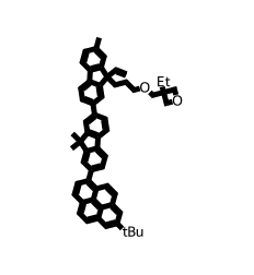 C=CC1(CCCOCC2(CC)COC2)c2cc(C)ccc2-c2ccc(-c3ccc4c(c3)C(C)(C)c3cc(-c5ccc6ccc7cc(C(C)(C)C)cc8ccc5c6c78)ccc3-4)cc21